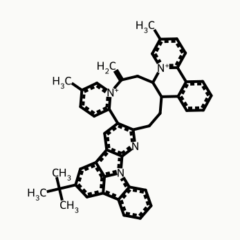 C=C1CC2C(CCc3nc4c(cc3-c3ccc(C)c[n+]31)c1cc(C(C)(C)C)cc3c5ccccc5n4c31)c1ccccc1-c1ccc(C)c[n+]12